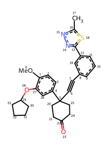 COc1ccc(C2(C#Cc3cccc(-c4nnc(C)s4)c3)CCC(=O)CC2)cc1OC1CCCC1